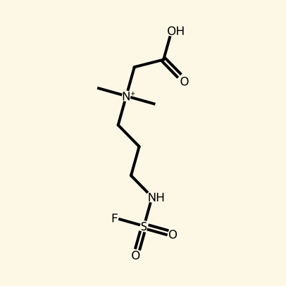 C[N+](C)(CCCNS(=O)(=O)F)CC(=O)O